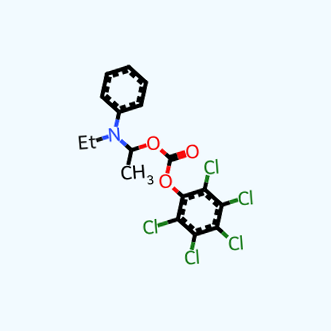 CCN(c1ccccc1)C(C)OC(=O)Oc1c(Cl)c(Cl)c(Cl)c(Cl)c1Cl